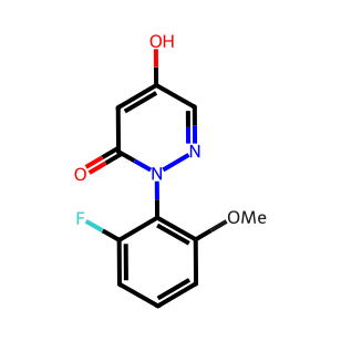 COc1cccc(F)c1-n1ncc(O)cc1=O